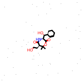 CC1(C)OC(=O)[C@H]([C@H](O)[C@@H]2C=CCCC2)NC(=O)[C@@H]1CCO